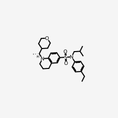 CCc1ccc(N(CC(C)C)S(=O)(=O)c2ccc3c(c2)CCCN3[C@H](C)C2CCOCC2)cc1